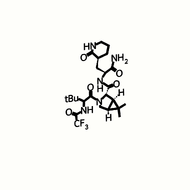 CC(C)(C)C(NC(=O)C(F)(F)F)C(=O)N1C[C@H]2[C@@H]([C@H]1C(=O)N[C@@H](C[C@@H]1CCCNC1=O)C(N)=O)C2(C)C